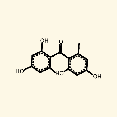 Cc1cc(O)cc(O)c1C(=O)c1c(C)cc(O)cc1O